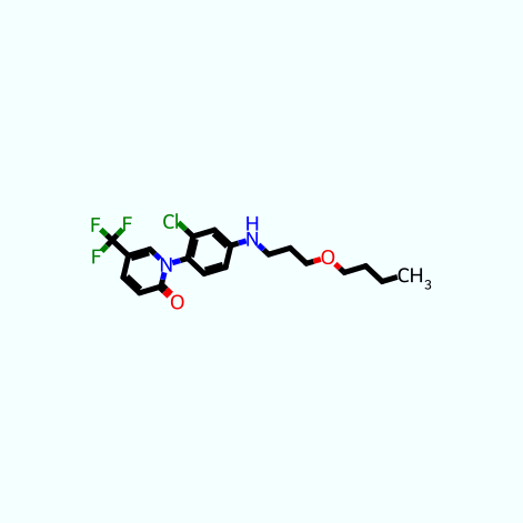 CCCCOCCCNc1ccc(-n2cc(C(F)(F)F)ccc2=O)c(Cl)c1